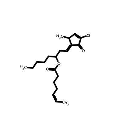 C/C=C\CCCC(=O)OC(C/C=C1/C(=O)C(Cl)=CC1C)CCCCC